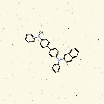 CN(c1ccccc1)c1ccc(-c2ccc(N(c3ccccc3)c3ccc4ccccc4c3)cc2)cc1